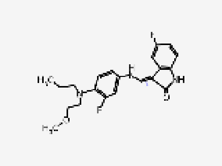 CCCN(CCOC)c1ccc(N/C=C2/C(=O)Nc3ccc(F)cc32)cc1F